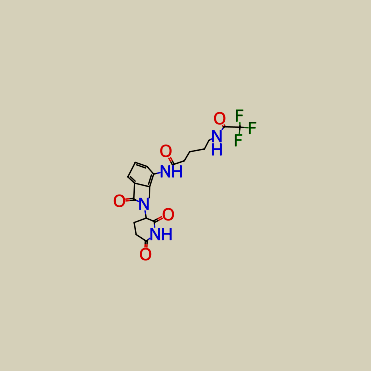 O=C1CCC(N2Cc3c(NC(=O)CCCCNC(=O)C(F)(F)F)cccc3C2=O)C(=O)N1